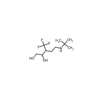 CC(C)(C)NCCC(C(O)CO)C(F)(F)F